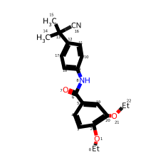 CCOc1ccc(C(=O)Nc2ccc(C(C)(C)C#N)cc2)cc1OCC